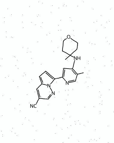 Cc1cnc(-c2ccc3cc(C#N)cnn23)cc1NC1(C)CCOCC1